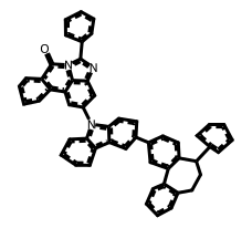 O=c1c2ccccc2c2cc(-n3c4ccccc4c4cc(-c5ccc6c(c5)-c5ccccc5CCC6c5ccccc5)ccc43)cc3nc(-c4ccccc4)n1c32